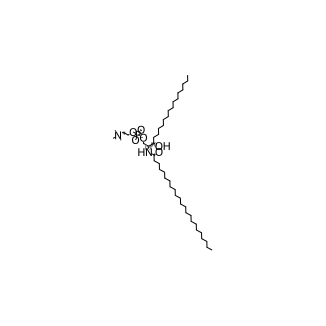 CCCCCCCCCCCCCCCCCCCCCCC(=O)N[C@@H](COP(=O)([O-])OCC[N+](C)(C)C)[C@H](O)CCCCCCCCCCCCCCC